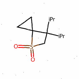 CC(C)C1(C(C)C)CS(=O)(=O)C12CC2